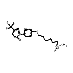 [CH3][SnH]([CH3])[CH2]CCCCCOc1ccc(-n2cc(C(F)(F)F)ccc2=O)cc1